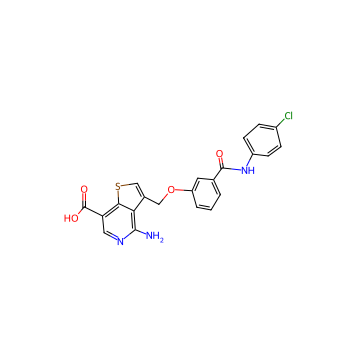 Nc1ncc(C(=O)O)c2scc(COc3cccc(C(=O)Nc4ccc(Cl)cc4)c3)c12